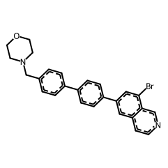 Brc1cc(-c2ccc(-c3ccc(CN4CCOCC4)cc3)cc2)cc2ccncc12